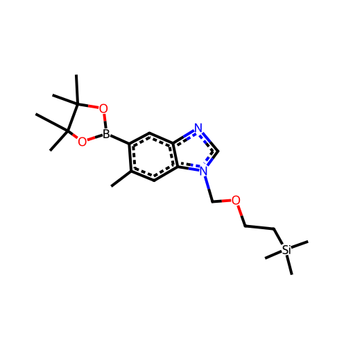 Cc1cc2c(cc1B1OC(C)(C)C(C)(C)O1)ncn2COCC[Si](C)(C)C